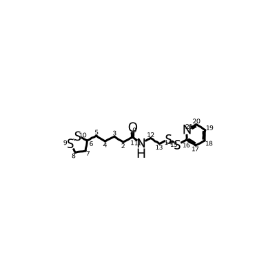 O=C(CCCCC1CCSS1)NCCSSc1ccccn1